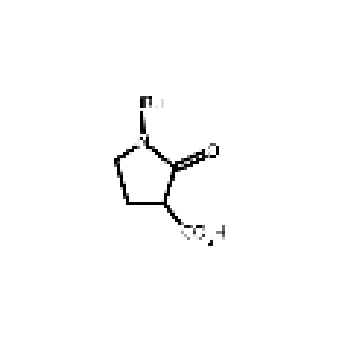 CCC(C)N1CCC(C(=O)O)C1=O